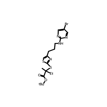 CCC(C)(Sc1nc(CCCNc2ncc(Br)cn2)cs1)C(=O)OC(C)(C)C